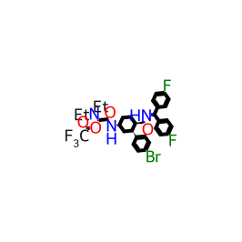 CCN(CC)C(OC(=O)C(F)(F)F)C(=O)N[C@@H]1CC[C@@H](C(=O)NC(c2ccc(F)cc2)c2ccc(F)cc2)[C@H](c2ccc(Br)cc2)C1